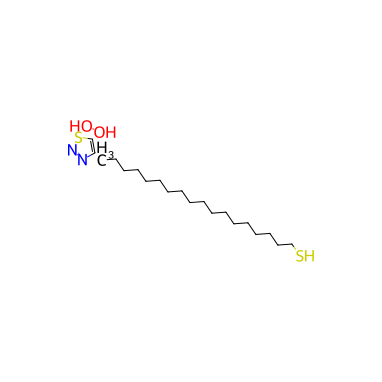 CCCCCCCCCCCCCCCCCCS.OO.c1csnn1